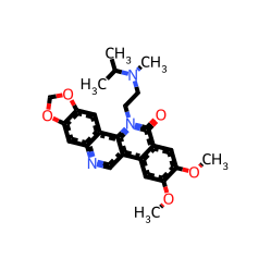 COc1cc2c(=O)n(CCN(C)C(C)C)c3c4cc5c(cc4ncc3c2cc1OC)OCO5